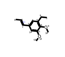 C/C=C/c1cc(CC)c(OC)c(OC)c1